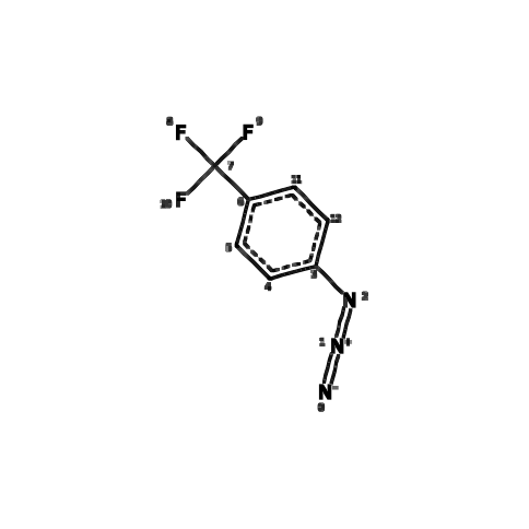 [N-]=[N+]=Nc1ccc(C(F)(F)F)cc1